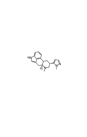 CN1C[C@H](c2ccnn2C)CC2c3cccc4[nH]cc(c34)C[C@H]21